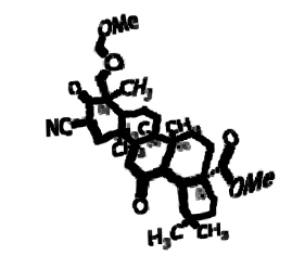 COCOC[C@@]1(C)C(=O)C(C#N)=C[C@]2(C)C3=CC(=O)C4C5CC(C)(C)CC[C@]5(C(=O)OC)CC[C@@]4(C)[C@]3(C)CCC12